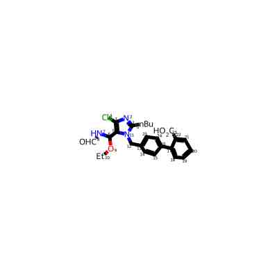 CCCCc1nc(Cl)c(C(NC=O)OCC)n1Cc1ccc(-c2ccccc2C(=O)O)cc1